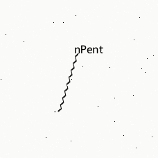 [CH]=CC=CC=CC=CC=CC=CC=CC=CC=CCCCCC